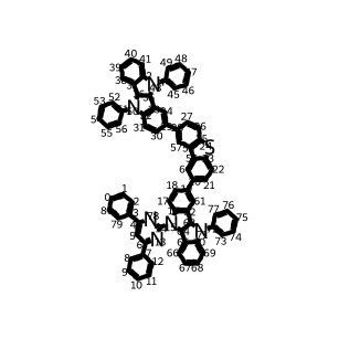 c1ccc(-c2cc(-c3ccccc3)nc(N3c4ccc(-c5ccc6sc7ccc(-c8ccc9c(c8)C8C(c%10ccccc%10N8c8ccccc8)N9c8ccccc8)cc7c6c5)cc4C4C3c3ccccc3N4c3ccccc3)n2)cc1